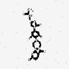 CC(=O)NC[C@H]1CN(c2cc(F)c(N3CCn4c(=O)c5ccc(Cl)nc5n4CC3)c(F)c2)C(=O)O1